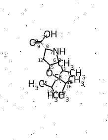 CC(C)[Si](O[C@@H]1CN[C@@H](C(=O)O)C1)(C(C)C)C(C)C